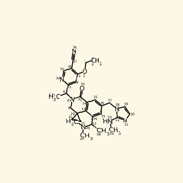 CCOc1cc(C(C)N2CC3(CC3)c3c(cc(Cn4ccnc4NC)cc3C(C)N(C)C)C2=O)ncc1C#N